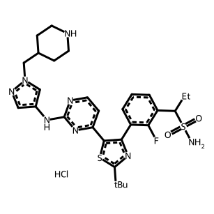 CCC(c1cccc(-c2nc(C(C)(C)C)sc2-c2ccnc(Nc3cnn(CC4CCNCC4)c3)n2)c1F)S(N)(=O)=O.Cl